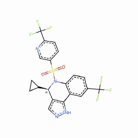 O=S(=O)(c1ccc(C(F)(F)F)nc1)N1c2ccc(C(F)(F)F)cc2-c2[nH]ncc2[C@H]1C1CC1